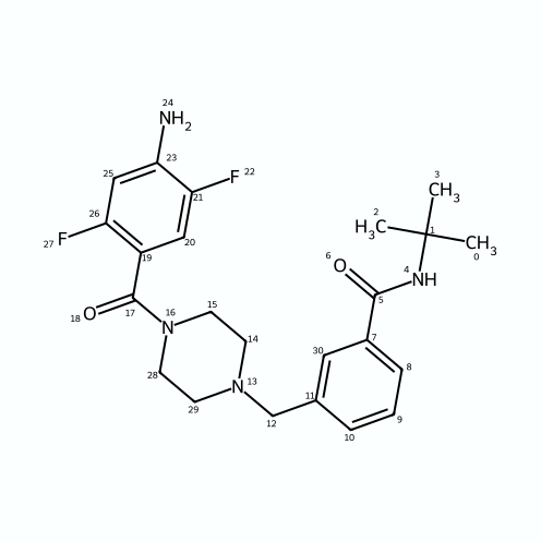 CC(C)(C)NC(=O)c1cccc(CN2CCN(C(=O)c3cc(F)c(N)cc3F)CC2)c1